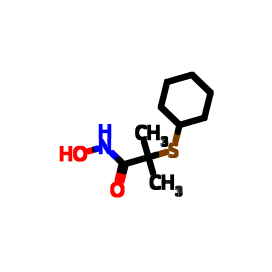 CC(C)(SC1CCCCC1)C(=O)NO